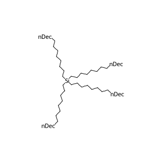 CCCCCCCCCCCCCCCCCC[Si](CCCCCCCCCCCCCCCCCC)(CCCCCCCCCCCCCCCCCC)CCCCCCCCCCCCCCCCCC